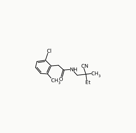 CCC(C)(C#N)CNC(=O)Cc1c(C)cccc1Cl